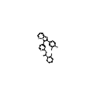 Cc1cc(-c2nc3cccnn3c2-c2ccnc(NC(=O)c3ccccc3C)c2)ccc1F